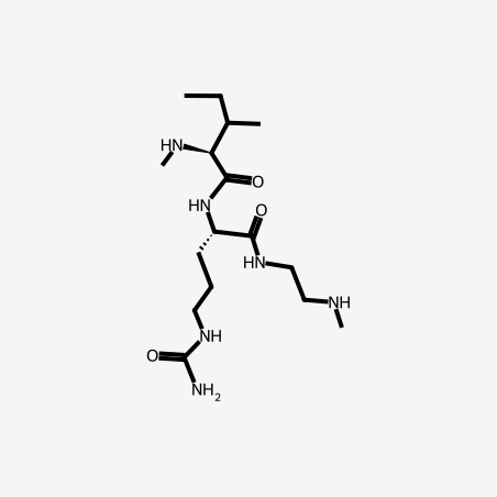 CCC(C)[C@H](NC)C(=O)N[C@@H](CCCNC(N)=O)C(=O)NCCNC